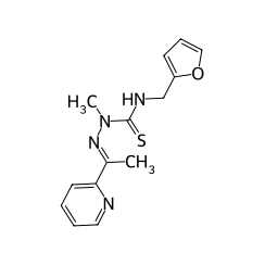 CC(=NN(C)C(=S)NCc1ccco1)c1ccccn1